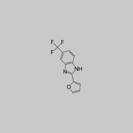 FC(F)(F)c1ccc2[nH]c(-c3ccco3)nc2c1